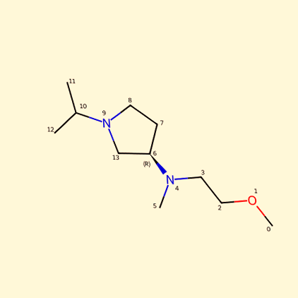 COCCN(C)[C@@H]1CCN(C(C)C)C1